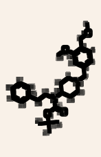 COCc1ccc(CN2CCC(N(CCc3ccccc3)C(=O)OC(C)(C)C)CC2)cc1OC